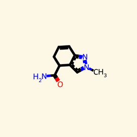 Cn1cc2c(n1)C=CCC2C(N)=O